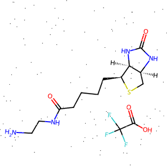 NCCNC(=O)CCCC[C@@H]1SC[C@@H]2NC(=O)N[C@@H]21.O=C(O)C(F)(F)F